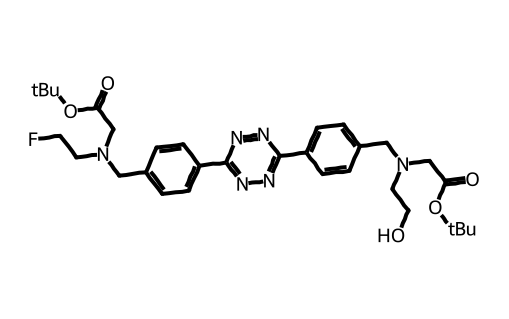 CC(C)(C)OC(=O)CN(CCO)Cc1ccc(-c2nnc(-c3ccc(CN(CCF)CC(=O)OC(C)(C)C)cc3)nn2)cc1